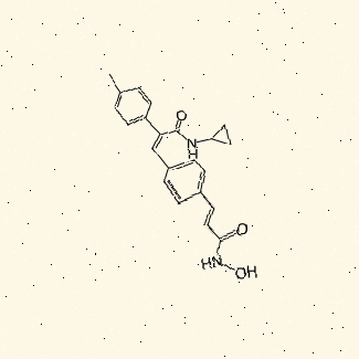 Cc1ccc(C(=Cc2ccc(C=CC(=O)NO)cc2)C(=O)NC2CC2)cc1